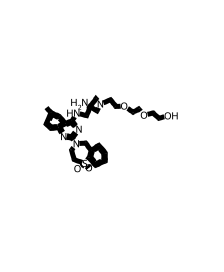 Cc1ccc2nc(N3CCS(=O)(=O)c4ccccc4C3)nc(NCC3(N)CN(CCOCCOCCO)C3)c2c1